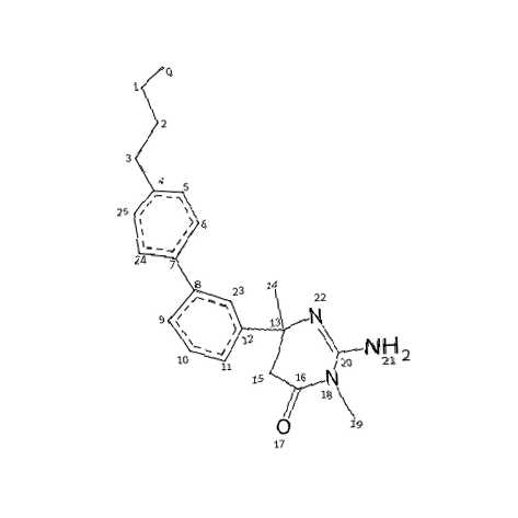 CCCCc1ccc(-c2cccc(C3(C)CC(=O)N(C)C(N)=N3)c2)cc1